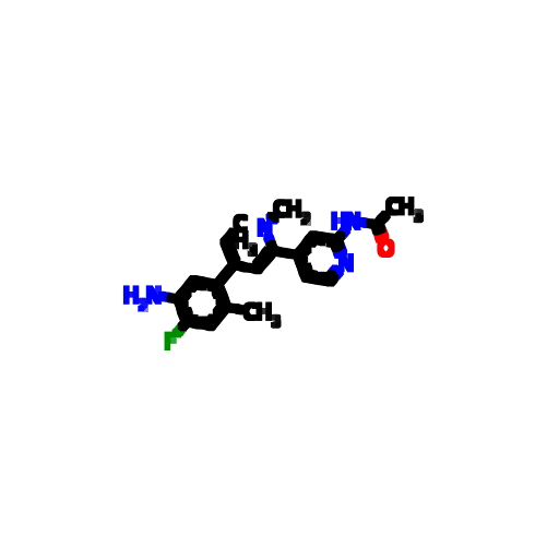 C=N/C(=C\C(=C/C)c1cc(N)c(F)cc1C)c1ccnc(NC(C)=O)c1